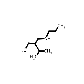 CCCNCC(CC)C(C)C